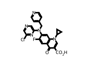 O=C(O)c1cn(C2CC2)c2cc(N(Cc3ccncc3)c3cncc(Cl)n3)c(F)cc2c1=O